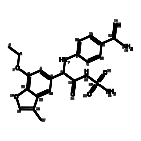 CCOc1cc(C(Nc2ccc(C(=N)N)cc2)C(=O)NS(N)(=O)=O)cc2c(C)coc12